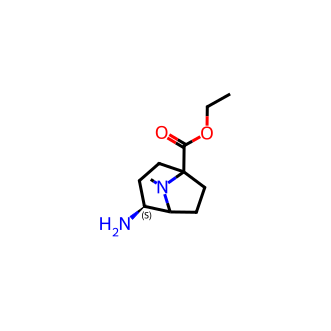 CCOC(=O)C12CCC([C@@H](N)CC1)N2C